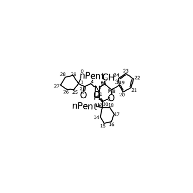 CCCCCC1(C(=O)CN[C@@H](C)[C@H](OC(=O)C2(CCCCC)CCCCC2)c2ccccc2)CCCCC1